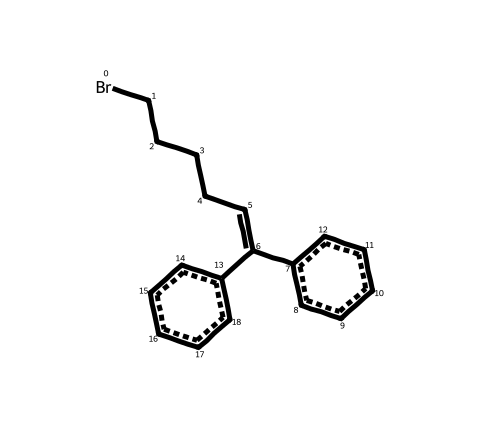 BrCCCCC=C(c1ccccc1)c1ccccc1